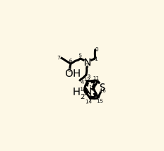 CCN(CC)CC(C)O.Nc1c2cccc1S2